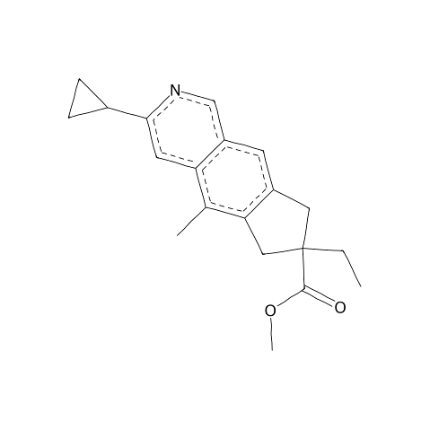 CCC1(C(=O)OC)Cc2cc3cnc(C4CC4)cc3c(C)c2C1